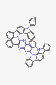 c1ccc(-c2nc3nc(-n4c5ccccc5c5ccc6c7ccccc7n(-c7ccccc7)c6c54)cnc3nc2-n2c3ccccc3c3ccc4c(c5ccccc5n4-c4ccccc4)c32)cc1